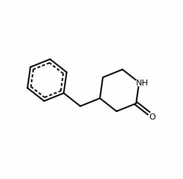 O=C1CC(Cc2ccccc2)CCN1